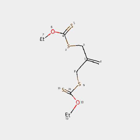 C=C(CSC(=S)OCC)CSC(=S)OCC